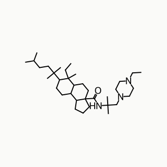 CCN1CCN(CC(C)(C)NC(=O)C23CCCC2C2CCC(C(C)(C)CCC(C)C)C(C)(CC)C2CC3)CC1